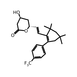 CC1(C)CC(c2ccc(C(F)(F)F)cc2)=C(C=C[C@H]2C[C@H](O)CC(=O)O2)C(C)(C)C1